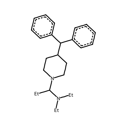 CCC(N(CC)CC)N1CCC(C(c2ccccc2)c2ccccc2)CC1